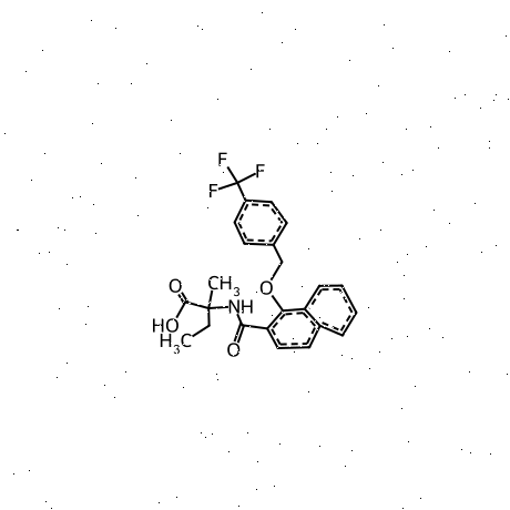 CCC(C)(NC(=O)c1ccc2ccccc2c1OCc1ccc(C(F)(F)F)cc1)C(=O)O